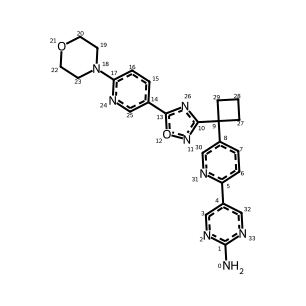 Nc1ncc(-c2ccc(C3(c4noc(-c5ccc(N6CCOCC6)nc5)n4)CCC3)cn2)cn1